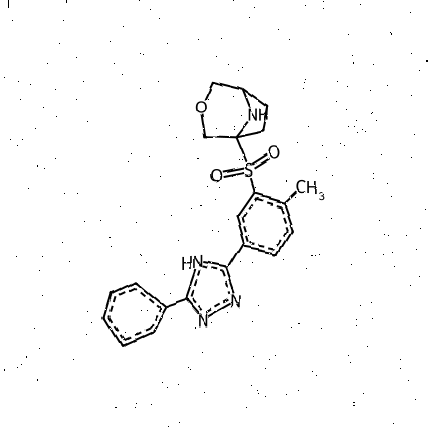 Cc1ccc(-c2nnc(-c3ccccc3)[nH]2)cc1S(=O)(=O)C12CCC(COC1)N2